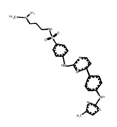 Cc1csc(Nc2ccc(-c3ccnc(Nc4ccc(S(=O)(=O)NCCCN(C)C)cc4)n3)cc2)n1